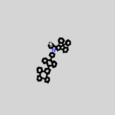 c1ccc(C2(c3ccccc3)c3ccccc3-c3cc4c(cc32)c2ccccc2n4-c2ccc(-c3c4ccccc4c(-c4ccc5c(c4)-c4ccccc4-c4ccccc4-c4ccccc4-5)c4ccccc34)cc2)cc1